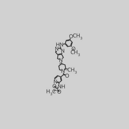 COc1cc(Nc2ncc3c(n2)CN([C@@H]2CCN(C(=O)c4ccnc(NS(C)(=O)=O)c4)[C@H](C)C2)C3)cc(OC)c1